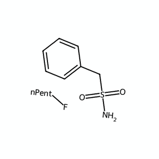 CCCCCF.NS(=O)(=O)Cc1ccccc1